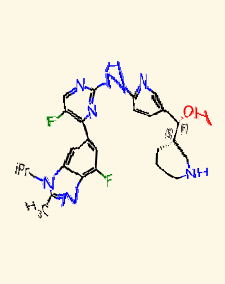 Cc1nc2c(F)cc(-c3nc(Nc4ccc([C@H](O)[C@H]5CCCNC5)cn4)ncc3F)cc2n1C(C)C